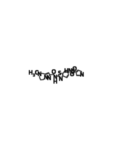 CN1CCCn2nc(C(=O)Nc3nc4ccc(NS(=O)(=O)c5ccncc5)cc4s3)cc2C1